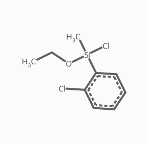 CCO[Si](C)(Cl)c1ccccc1Cl